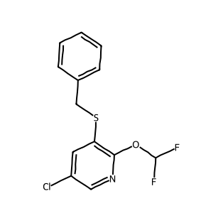 FC(F)Oc1ncc(Cl)cc1SCc1ccccc1